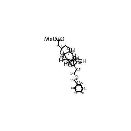 COC(=O)C[C@H]1CC[C@@H]2O[C@@H]3[C@H]4O[C@](CCOCc5ccccc5)(C[C@H]4[C@H]2O1)[C@H]3O